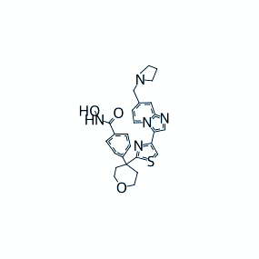 O=C(NO)c1ccc(C2(c3nc(-c4cnc5cc(CN6CCCC6)ccn45)cs3)CCOCC2)cc1